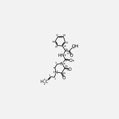 C=CCN1CCN(C(=O)NC(C(=O)O)c2ccccc2)C(=O)C1=O